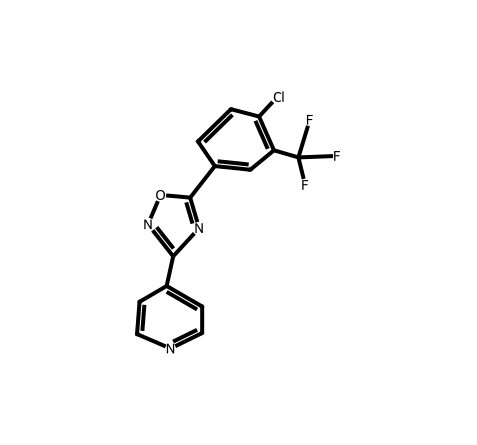 FC(F)(F)c1cc(-c2nc(-c3ccncc3)no2)ccc1Cl